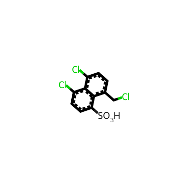 O=S(=O)(O)c1ccc(Cl)c2c(Cl)ccc(CCl)c12